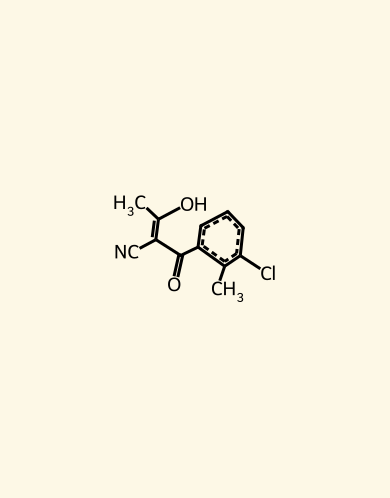 CC(O)=C(C#N)C(=O)c1cccc(Cl)c1C